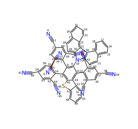 N#Cc1cc(C#N)c(-c2c(-n3c4ccc5ccccc5c4c4c5ccccc5ccc43)c(-c3c(C#N)cc(C#N)cc3C#N)c3c(sc4ccccc43)c2-c2c(C#N)cc(C#N)cc2C#N)c(C#N)c1